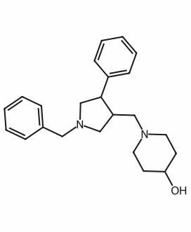 OC1CCN(CC2CN(Cc3ccccc3)CC2c2ccccc2)CC1